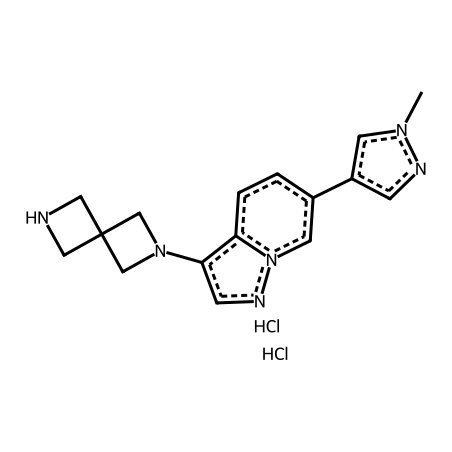 Cl.Cl.Cn1cc(-c2ccc3c(N4CC5(CNC5)C4)cnn3c2)cn1